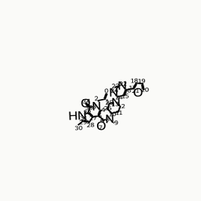 C=CCn1cc(C(=O)N(C)C2CCN(c3cc(-c4ccco4)ncn3)CC2)c2cc(C)[nH]c2c1=O